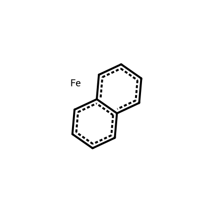 [Fe].c1ccc2ccccc2c1